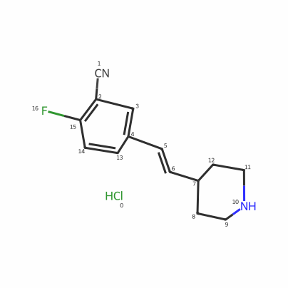 Cl.N#Cc1cc(C=CC2CCNCC2)ccc1F